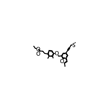 CCOC(=O)CCc1ccc(OCc2cc(C#CCSC)cc3cc(C)oc23)c(C)c1C